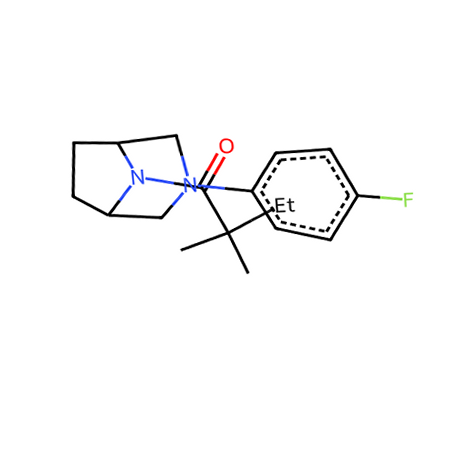 CCC(C)(C)C(=O)N1C2CCC1CN(c1ccc(F)cc1)C2